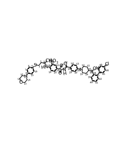 C[C@H](CCSc1ccc(N2CCOCC2)cc1)Nc1ccc(S(=O)(=O)NC(=O)c2ccc(N3CCC([C@@H](O)c4ccccc4-c4ccc(Cl)cc4)CC3)cc2)cc1[N+](=O)[O-]